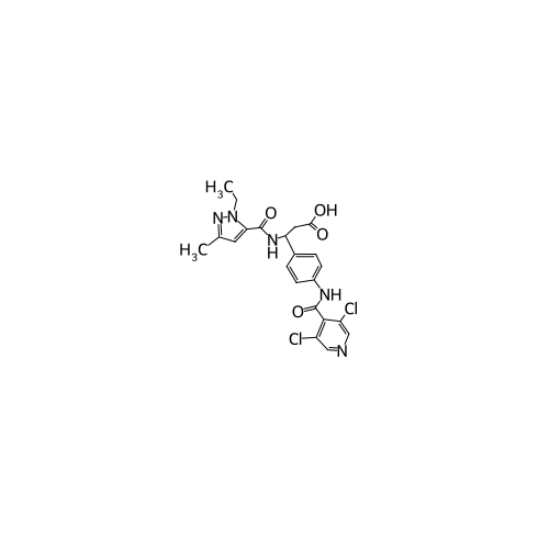 CCn1nc(C)cc1C(=O)NC(CC(=O)O)c1ccc(NC(=O)c2c(Cl)cncc2Cl)cc1